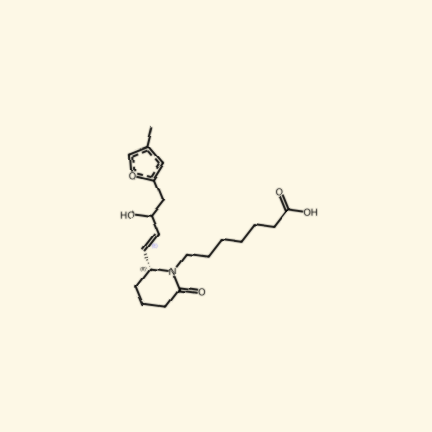 Cc1coc(CC(O)/C=C/[C@H]2CCCC(=O)N2CCCCCCC(=O)O)c1